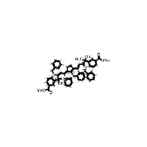 COC(=O)c1ccc2c(c1)C(C)(C)C(/C=C/C1=C(N(c3ccccc3)c3ccccc3)C(=C/C=C3/N(Cc4ccccc4)c4ccc(C(=O)OC)cc4C3(C)C)/CC1)=[N+]2Cc1ccccc1